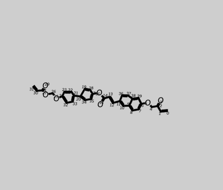 C=CC(=O)COc1ccc2cc(/C=C/C(=O)Oc3ccc(-c4ccc(OCOC(=O)C=C)cc4)cc3)ccc2c1